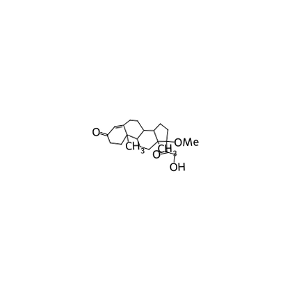 COC1(C(=O)CO)CCC2C3CCC4=CC(=O)CCC4(C)C3CCC21C